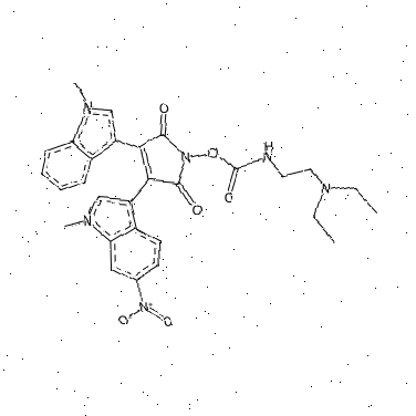 CCN(CC)CCNC(=O)ON1C(=O)C(c2cn(C)c3ccccc23)=C(c2cn(C)c3cc([N+](=O)[O-])ccc23)C1=O